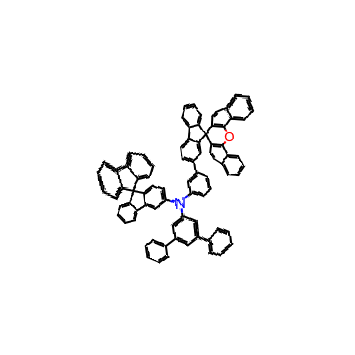 c1ccc(-c2cc(-c3ccccc3)cc(N(c3cccc(-c4ccc5c(c4)C4(c6ccccc6-5)c5ccc6ccccc6c5Oc5c4ccc4ccccc54)c3)c3ccc4c(c3)-c3ccccc3C43c4ccccc4-c4ccccc43)c2)cc1